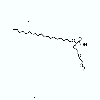 CCCCCCCCCCCCCCCCCCCOC(OCCOCCOCC)C(=O)O